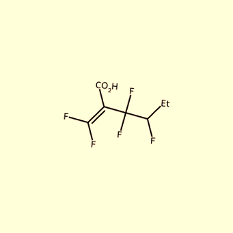 CCC(F)C(F)(F)C(C(=O)O)=C(F)F